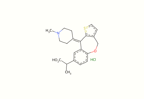 CC(C(=O)O)c1ccc2c(c1)C(=C1CCN(C)CC1)c1sccc1CO2.Cl